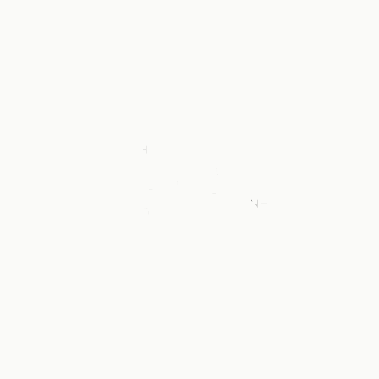 CN[C@H](C)C(=O)COC(=O)C(C)O